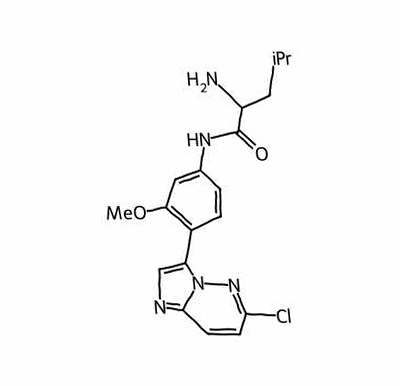 COc1cc(NC(=O)C(N)CC(C)C)ccc1-c1cnc2ccc(Cl)nn12